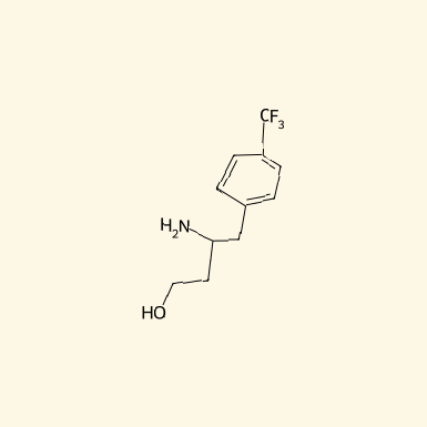 NC(CCO)Cc1ccc(C(F)(F)F)cc1